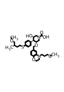 COCCCN1CCOc2ccc(CO[C@H]3CN(C(=O)O)C[C@@H](O)[C@@H]3c3ccc(SCC[C@@H](C)COC)cc3)cc21